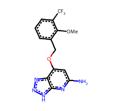 COc1c(COc2cc(N)nc3[nH]nnc23)cccc1C(F)(F)F